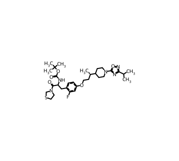 CC(C)c1noc(N2CCC([C@H](C)CCOc3ccc(CC(NC(=O)OC(C)(C)C)C(=O)N4CCSC4)c(F)c3)CC2)n1